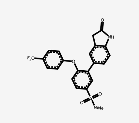 CNS(=O)(=O)c1ccc(Oc2ccc(C(F)(F)F)cc2)c(-c2ccc3c(c2)CC(=O)N3)c1